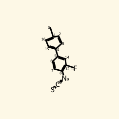 Cc1ccc(-c2ccc(N=C=S)c(F)c2)cc1